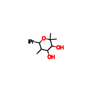 CC(C)C1OC(C)(C)C(O)C(O)C1C